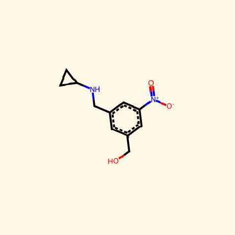 O=[N+]([O-])c1cc(CO)cc(CNC2CC2)c1